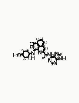 C[C@H](Nc1ncnc2[nH]cnc12)c1cc2cccc(Cl)c2c(C(=O)NC2CCC(O)CC2)n1